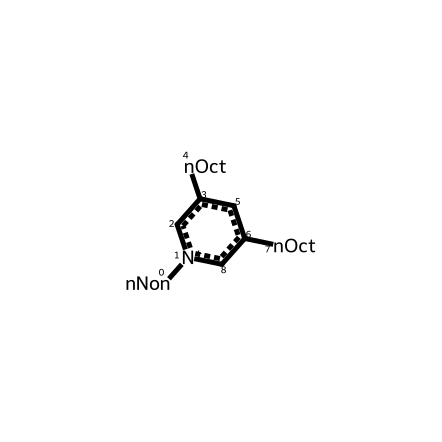 CCCCCCCCC[n+]1cc(CCCCCCCC)cc(CCCCCCCC)c1